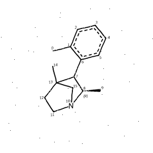 Cc1ccccc1C1[C@@H](C)N2CCC1(C)C2